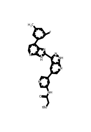 Cc1cc(F)cc(-c2ccnc3[nH]c(-c4n[nH]c5ncc(-c6cncc(NC(=O)CC(C)(C)C)c6)cc45)nc23)c1